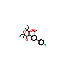 CCc1cc(-c2ccc(F)cc2)ccc1C1=C(O)C(C)(CC)OC(C)(CC)C1=O